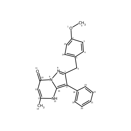 COc1ccc(Cc2nn3c(=O)cc(C)[nH]c3c2-c2ccccc2)cc1